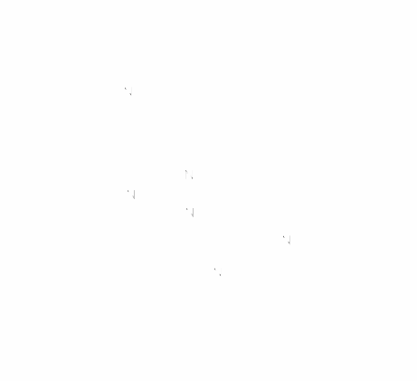 CC(C)c1nccnc1-n1cnc(C#N)n1